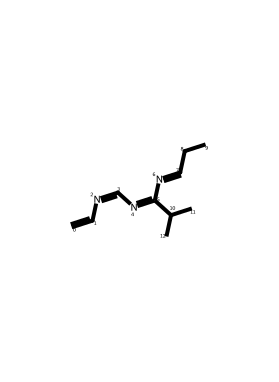 C=C\N=C/N=C(\N=C\CC)C(C)C